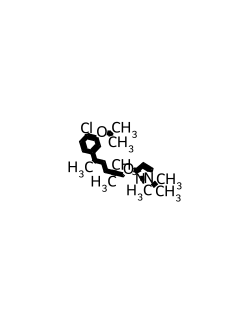 CC(C)Oc1cc(C(C)CCC(C)(C)COc2ccn(C(C)(C)C)n2)ccc1Cl